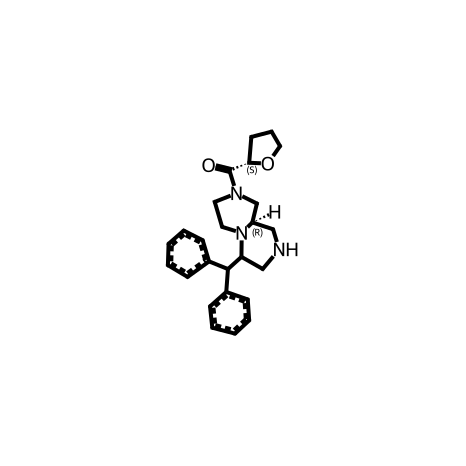 O=C([C@@H]1CCCO1)N1CCN2C(C(c3ccccc3)c3ccccc3)CNC[C@@H]2C1